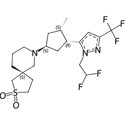 C[C@H]1C[C@H](N2CCC[C@]3(CCS(=O)(=O)C3)C2)C[C@H]1c1cc(C(F)(F)F)nn1CC(F)F